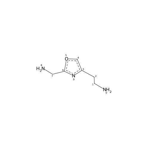 NCCc1coc(CN)n1